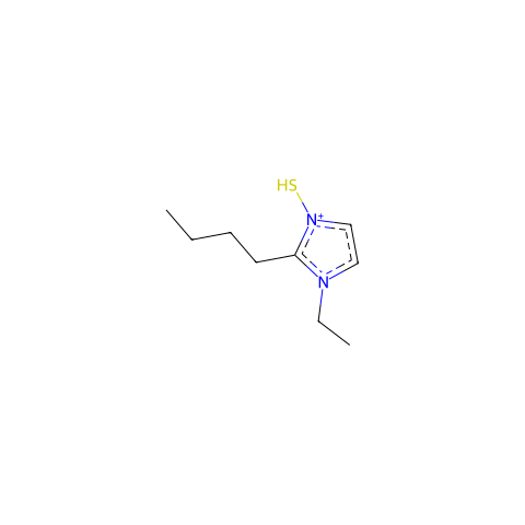 CCCCc1n(CC)cc[n+]1S